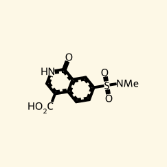 CNS(=O)(=O)c1ccc2c(C(=O)O)c[nH]c(=O)c2c1